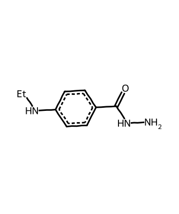 CCNc1ccc(C(=O)NN)cc1